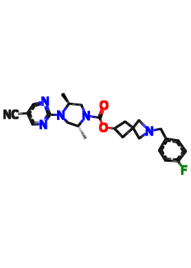 C[C@@H]1CN(c2ncc(C#N)cn2)[C@@H](C)CN1C(=O)OC1CC2(C1)CN(Cc1ccc(F)cc1)C2